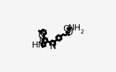 Cc1cccc(-c2cc(-c3cncc(-c4ccc(CCC(C)(C)OC(N)=O)cc4)c3)c3cc[nH]c3n2)n1